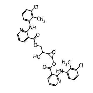 Cc1c(Cl)cccc1Nc1ncccc1C(=O)OCC(O)C1OC1OC(=O)c1cccnc1Nc1cccc(Cl)c1C